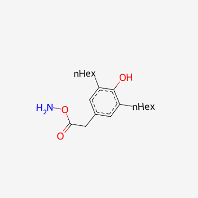 CCCCCCc1cc(CC(=O)ON)cc(CCCCCC)c1O